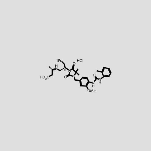 COc1cc(CN2C(=O)N([C@@H](CN[C@H](C)CC(=O)O)CC(C)C)C(=O)C2(C)C)ccc1NC(=O)Nc1ccccc1C.Cl